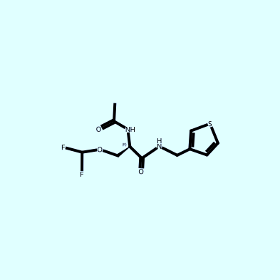 CC(=O)N[C@H](COC(F)F)C(=O)NCc1ccsc1